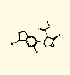 COC(=O)[C@@H]1C(=O)NC[C@H]1c1cc2c(cc1F)C(O)CC2